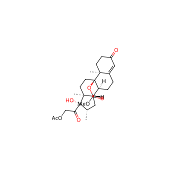 COC(=O)O[C@]12CC[C@@]3(C)[C@@H](C[C@H](C)[C@@]3(O)C(=O)COC(C)=O)[C@@H]1CCC1=CC(=O)CC[C@@]12C